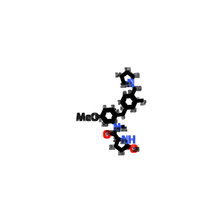 COc1c[c]c(Cc2ccc(CN3CCCC3)c(C)c2)c(N(C)C(=O)C2CCC(=O)N2)c1